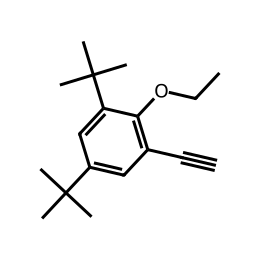 C#Cc1cc(C(C)(C)C)cc(C(C)(C)C)c1OCC